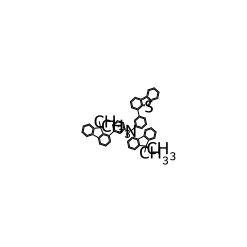 CC1(C)c2ccccc2-c2c(N(c3cccc(-c4cccc5c4C(C)(C)c4ccccc4-5)c3)c3cccc(-c4cccc5c4sc4ccccc45)c3)cccc21